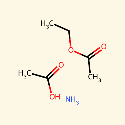 CC(=O)O.CCOC(C)=O.N